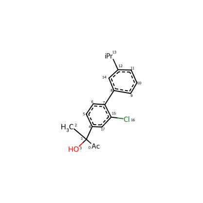 CC(=O)C(C)(O)c1ccc(-c2cccc(C(C)C)c2)c(Cl)c1